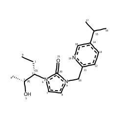 CC[C@@H]([C@@H](C)O)n1ccn(Cc2ccc(C(C)C)cn2)c1=O